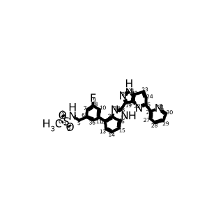 CS(=O)(=O)NCc1cc(F)cc(-c2cccc3[nH]c(-c4n[nH]c5ccc(-c6ccccn6)nc45)nc23)c1